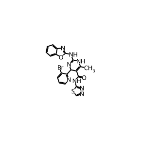 CC1=C(C(=O)Nc2nncs2)C(c2ncccc2Br)N=C(Nc2nc3ccccc3o2)N1